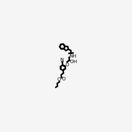 CCCCOC(=O)CCc1ccc(C#N)c(OC[C@H](O)CNC(C)(C)CC2Cc3ccccc3C2)c1